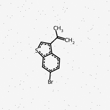 C=C(C)c1csc2cc(Br)ccc12